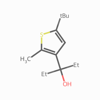 CCC(O)(CC)c1cc(C(C)(C)C)sc1C